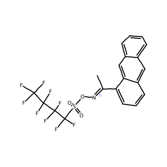 C/C(=N\OS(=O)(=O)C(F)(F)C(F)(F)C(F)(F)C(F)(F)F)c1cccc2cc3ccccc3cc12